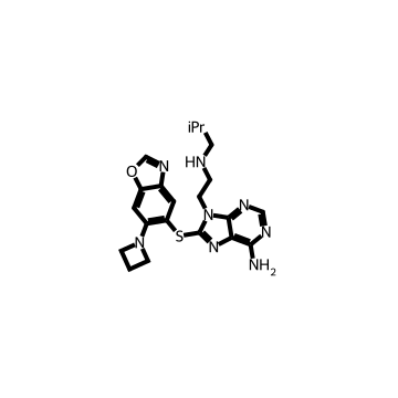 CC(C)CNCCn1c(Sc2cc3ncoc3cc2N2CCC2)nc2c(N)ncnc21